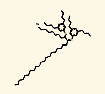 CCCCCCCCCCCCCCCCCCC=CC(=Nc1cc(CCCC)cc(CCCC)c1)C(CCCCCCCC)=Nc1cc(CCCC)cc(CCCC)c1.[Ni]